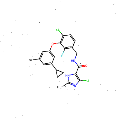 Cc1nc(Cl)c(C(=O)NCc2ccc(Cl)c(Oc3cc(C#N)cc(C4CC4)c3)c2F)[nH]1